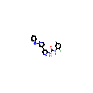 Cc1ccc(F)c(NC(=O)Nc2cc(-c3ccnc(Nc4ccccc4)c3)ccn2)c1